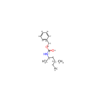 CC(=O)C[C@@H](C)CC(C)NC(=O)OCc1ccccc1